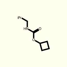 CC(C)CNC(=O)OC1CCC1